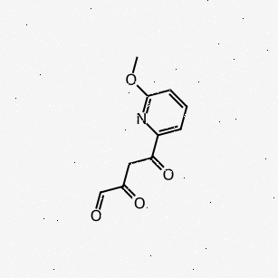 COc1cccc(C(=O)CC(=O)C=O)n1